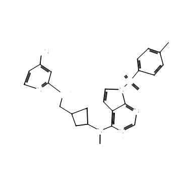 Cc1ccc(S(=O)(=O)n2ccc3c(N(C)C4CC(CSc5cc(C#N)ccn5)C4)ncnc32)cc1